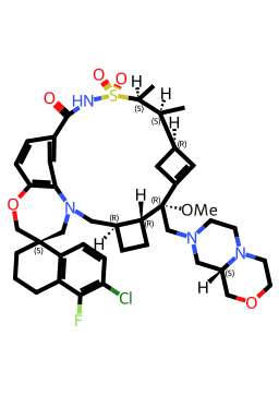 CO[C@@]1(CN2CCN3CCOC[C@@H]3C2)C2=C[C@@H](C2)[C@H](C)[C@H](C)S(=O)(=O)NC(=O)c2ccc3c(c2)N(C[C@@H]2CC[C@H]21)C[C@@]1(CCCc2c1ccc(Cl)c2F)CO3